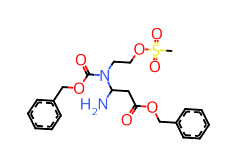 CS(=O)(=O)OCCN(C(=O)OCc1ccccc1)C(N)CC(=O)OCc1ccccc1